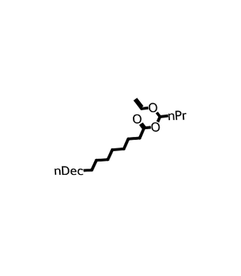 C=COC(CCC)OC(=O)CCCCCCCCCCCCCCCCC